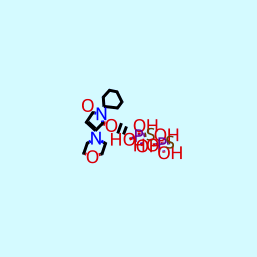 CC.CC.O=C1C=C(N2CCOCC2)C(=O)N1C1CCCCC1.OP(O)(O)=S.OP(O)(O)=S